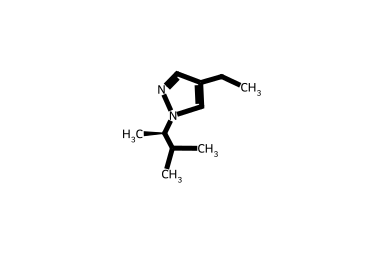 CCc1cnn([C@H](C)C(C)C)c1